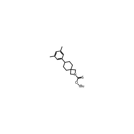 Cc1cc(C)cc(C2CCC3(CC2)CN(C(=S)OC(C)(C)C)C3)c1